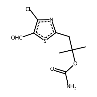 CC(C)(Cc1nc(Cl)c(C=O)s1)OC(N)=O